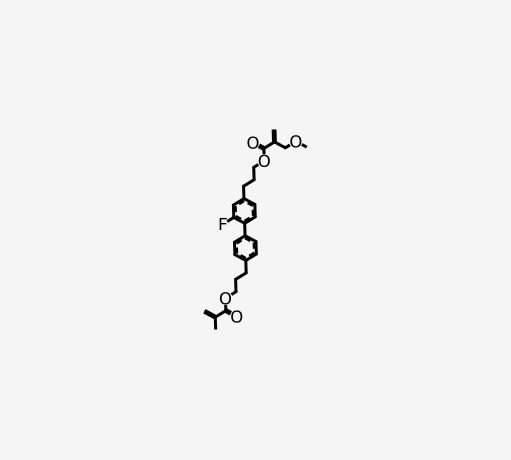 C=C(C)C(=O)OCCCc1ccc(-c2ccc(CCCOC(=O)C(=C)COC)cc2F)cc1